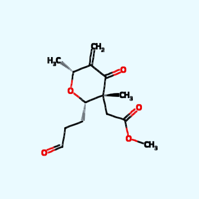 C=C1C(=O)[C@](C)(CC(=O)OC)[C@H](CCC=O)O[C@@H]1C